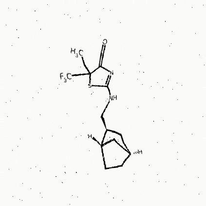 CC1(C(F)(F)F)SC(NC[C@H]2C[C@H]3CC[C@H]2C3)=NC1=O